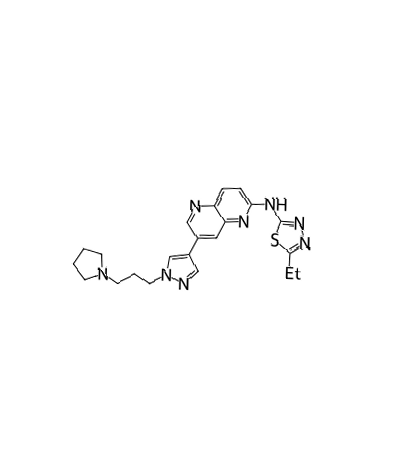 CCc1nnc(Nc2ccc3ncc(-c4cnn(CCCN5CCCC5)c4)cc3n2)s1